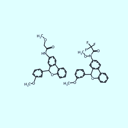 COCC(=O)Nc1ccc2c(c1)C(c1cccc(OC)c1)Oc1ccccc1-2.COc1cccc(C2Oc3ccccc3-c3ccc(N(OC)C(=O)C(F)(F)F)cc32)c1